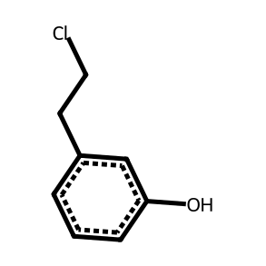 Oc1cccc(CCCl)c1